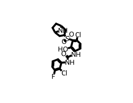 O=C(Nc1ccc(Cl)c(S(=O)(=O)C2CC3CCC(C2)N3)c1O)Nc1cccc(F)c1Cl